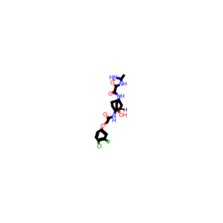 CC1NOC(C(=O)NC23CCC(NC(=O)COc4ccc(Cl)c(F)c4)(CC2)[C@@H](O)C3)N1